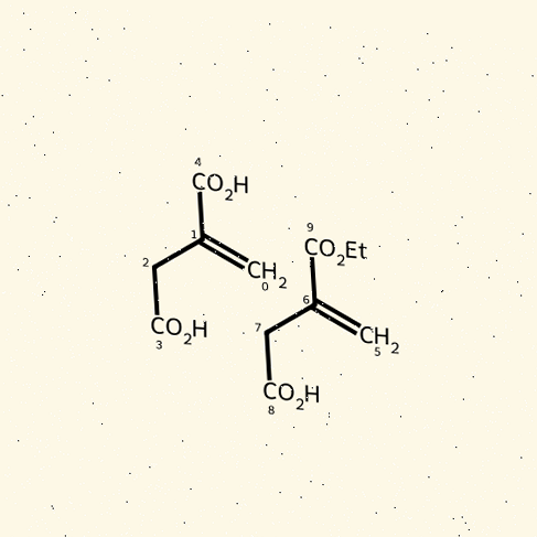 C=C(CC(=O)O)C(=O)O.C=C(CC(=O)O)C(=O)OCC